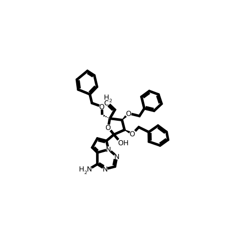 C=C[C@]1(COCc2ccccc2)OC(O)(c2ccc3c(N)ncnn23)[C@H](OCc2ccccc2)[C@@H]1OCc1ccccc1